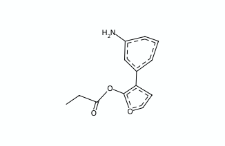 CCC(=O)Oc1occc1-c1cccc(N)c1